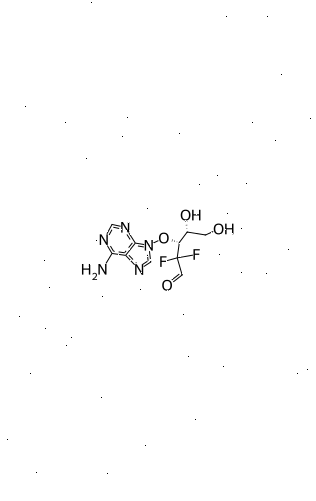 Nc1ncnc2c1ncn2O[C@H]([C@H](O)CO)C(F)(F)C=O